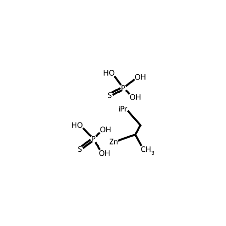 CC(C)C[CH](C)[Zn].OP(O)(O)=S.OP(O)(O)=S